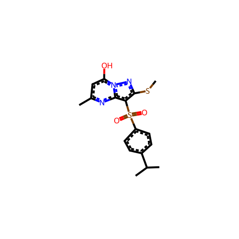 CSc1nn2c(O)cc(C)nc2c1S(=O)(=O)c1ccc(C(C)C)cc1